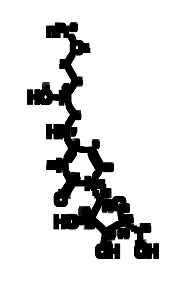 CCCOCCN(O)CNc1ccn([C@@H]2O[C@H](CO)C(O)[C@H]2O)c(=O)n1